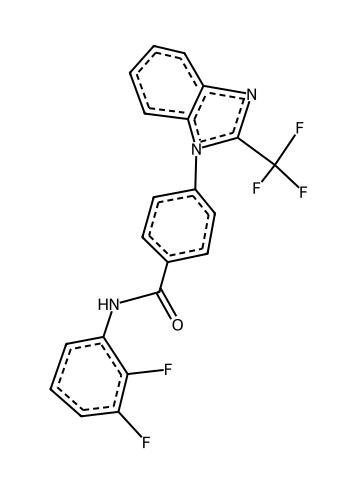 O=C(Nc1cccc(F)c1F)c1ccc(-n2c(C(F)(F)F)nc3ccccc32)cc1